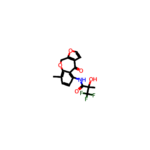 Cc1ccc(NC(=O)C(C)(O)C(F)(F)F)c2c1OCc1occc1C2=O